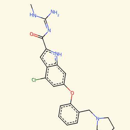 CNC(N)=NC(=O)c1cc2c(Cl)cc(Oc3ccccc3CN3CCCC3)cc2[nH]1